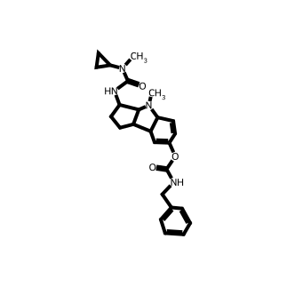 CN(C(=O)NC1CCC2C3C=C(OC(=O)NCc4ccccc4)C=CC3N(C)C12)C1CC1